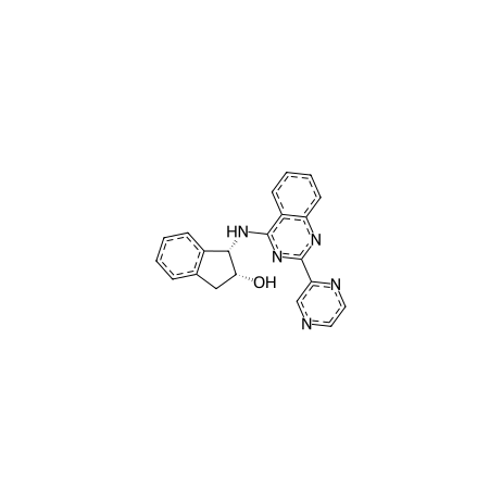 O[C@@H]1Cc2ccccc2[C@@H]1Nc1nc(-c2cnccn2)nc2ccccc12